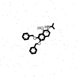 CC(C)N[C@H]1CCc2cc(OCc3ccccc3)c(OCc3ccccc3)cc2[C@@H]1O